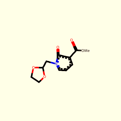 COC(=O)c1cccn(CC2OCCO2)c1=O